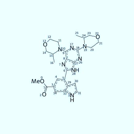 COC(=O)c1cc(-c2nc3c(N4CCOCC4C)nc(N4CCOCC4C)nc3[nH]2)c2cc[nH]c2c1